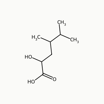 CC(C)C(C)CC(O)C(=O)O